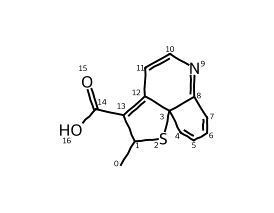 CC1SC23C=CC=CC2=NC=CC3=C1C(=O)O